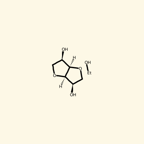 CCO.O[C@@H]1CO[C@H]2[C@@H]1OC[C@H]2O